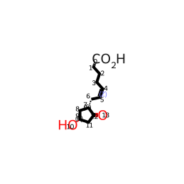 O=C(O)CCC/C=C\C[C@H]1C[C@@H](O)CC1=O